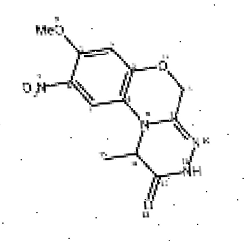 COc1cc2c(cc1[N+](=O)[O-])N1C(=NNC(=O)C1C)CO2